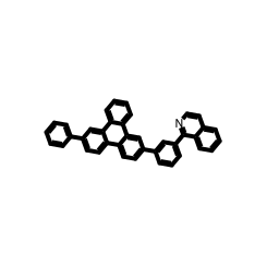 c1ccc(-c2ccc3c4ccc(-c5cccc(-c6nccc7ccccc67)c5)cc4c4ccccc4c3c2)cc1